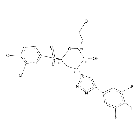 O=S(=O)(c1ccc(Cl)c(Cl)c1)[C@@H]1C[C@@H](n2cc(-c3cc(F)c(F)c(F)c3)nn2)[C@@H](O)[C@@H](CCO)O1